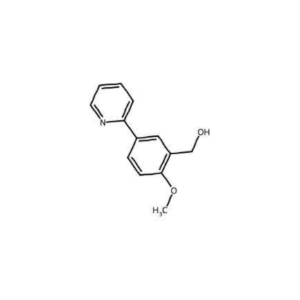 COc1ccc(-c2ccccn2)cc1CO